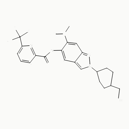 C[S+]([O-])c1cc2nn(C3CCC(CO)CC3)cc2cc1NC(=O)c1cccc(C(F)(F)F)n1